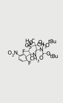 CC(C)(C)OC(=O)N(C(=O)OC(C)(C)C)C1=N[C@](C)(c2cc([N+](=O)[O-])ccc2F)C(F)S(=O)(=O)C1(C)C